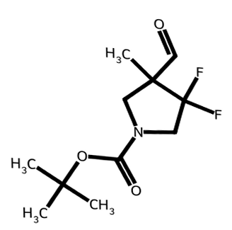 CC(C)(C)OC(=O)N1CC(F)(F)C(C)(C=O)C1